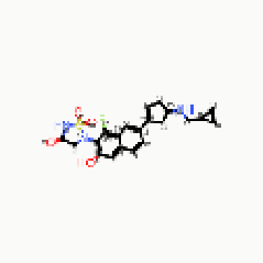 O=C1CN(c2c(O)cc3ccc(C4=CCC(NCC5CC5)C4)cc3c2F)S(=O)(=O)N1